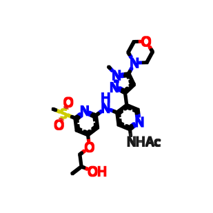 CC(=O)Nc1cc(Nc2cc(OCC(C)O)cc(S(C)(=O)=O)n2)c(-c2cc(N3CCOCC3)n(C)n2)cn1